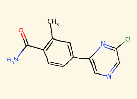 Cc1cc(-c2cncc(Cl)n2)ccc1C(N)=O